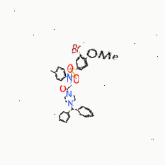 COc1ccc(S(=O)(=O)N(CC(=O)N2CCN(C(c3ccccc3)c3ccccc3)CC2)c2ccc(C)cc2)cc1Br